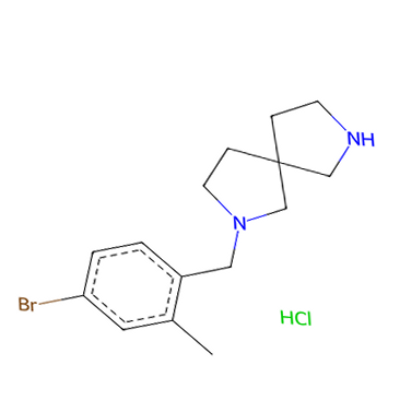 Cc1cc(Br)ccc1CN1CCC2(CCNC2)C1.Cl